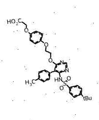 Cc1ccc(-c2c(NS(=O)(=O)c3ccc(C(C)(C)C)cc3)ncnc2OCCOc2ccc(OCC(=O)O)cc2)cc1